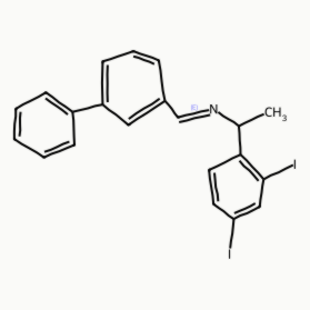 CC(/N=C/c1cccc(-c2ccccc2)c1)c1ccc(I)cc1I